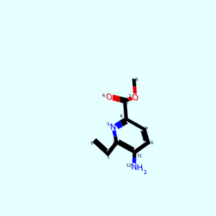 C=Cc1nc(C(=O)OC)ccc1N